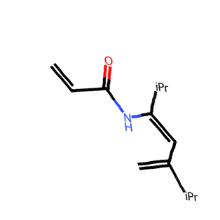 C=CC(=O)N/C(=C\C(=C)C(C)C)C(C)C